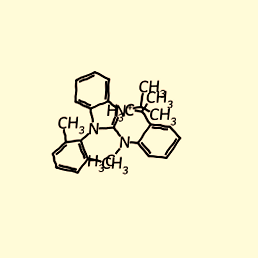 Cc1cccc(C)c1-n1c(N(C)c2ccccc2C(C)C)[n+](C(C)C)c2ccccc21